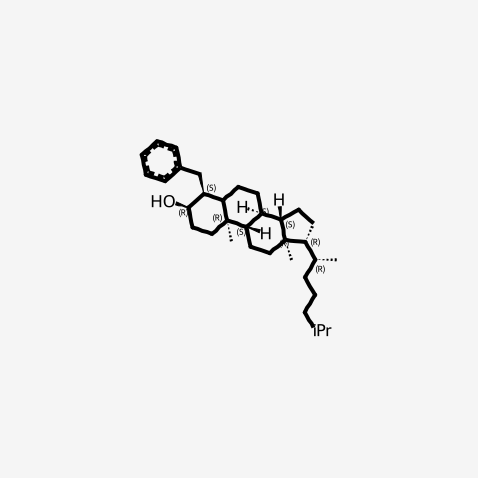 CC(C)CCC[C@@H](C)[C@H]1CC[C@H]2[C@@H]3CCC4[C@H](Cc5ccccc5)[C@H](O)CC[C@]4(C)[C@H]3CC[C@]12C